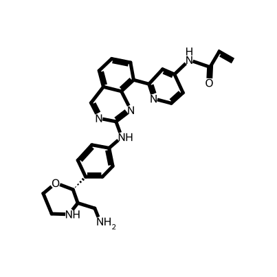 C=CC(=O)Nc1ccnc(-c2cccc3cnc(Nc4ccc([C@H]5OCCNC5CN)cc4)nc23)c1